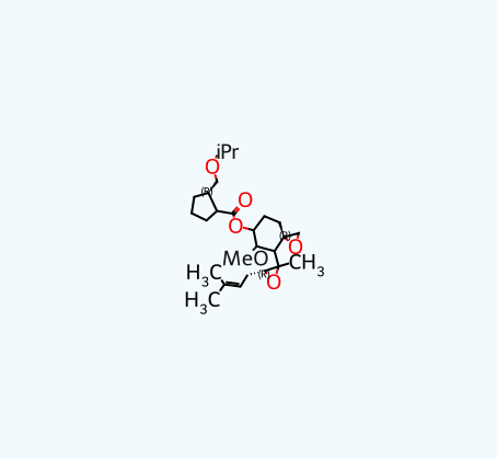 COC1C(OC(=O)C2CCC[C@H]2COC(C)C)CC[C@]2(CO2)C1C1(C)O[C@@H]1CC=C(C)C